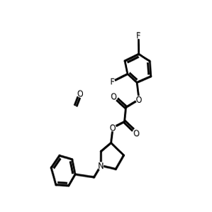 C=O.O=C(Oc1ccc(F)cc1F)C(=O)OC1CCN(Cc2ccccc2)C1